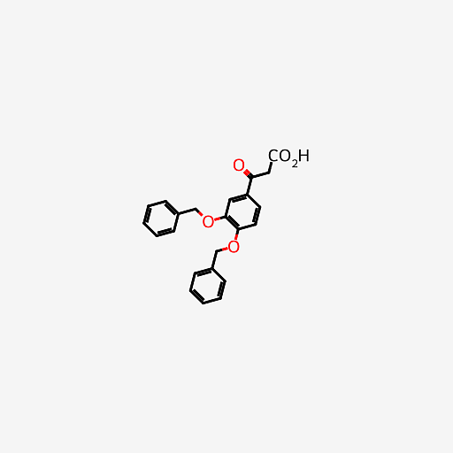 O=C(O)CC(=O)c1ccc(OCc2ccccc2)c(OCc2ccccc2)c1